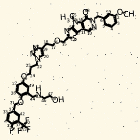 COc1cccc(Cn2ncc3c4sc(COCCc5cn(CCCOc6ccc(OCc7ccc(F)c(C(F)(F)F)c7)c(CNCCO)c6)nn5)nc4n(C)c3c2=O)c1